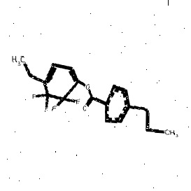 CCCc1ccc(C(=O)OC2=CC=C(CC)C(F)(F)C2(F)F)cc1